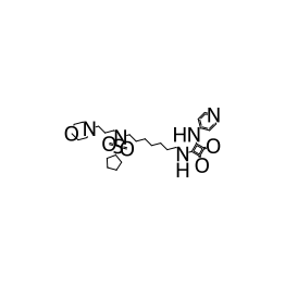 O=c1c(NCCCCCCCN(CCCN2CCOCC2)S(=O)(=O)C2CCCC2)c(Nc2ccncc2)c1=O